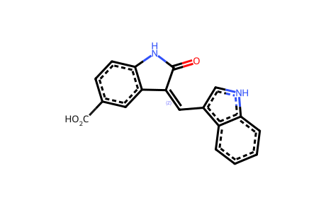 O=C1Nc2ccc(C(=O)O)cc2/C1=C/c1c[nH]c2ccccc12